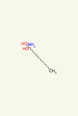 CCCCCCCCCCCCCCCCCCCC/C=C/[C@@H](O)[C@@H](N)CO